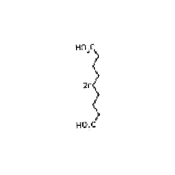 O=C(O)CCCCCCCC(=O)O.[Zn]